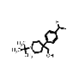 CC(C)(C)N1CCC(CO)(c2ccc(C(F)F)cc2)CC1